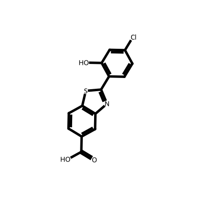 O=C(O)c1ccc2sc(-c3ccc(Cl)cc3O)nc2c1